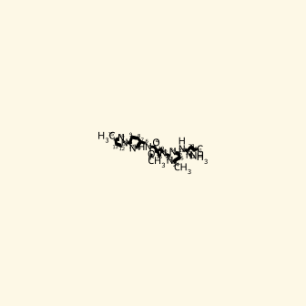 COC1(C(=O)NCc2ccc(-n3ccc(C)n3)nc2)CN(c2nc(C)cc(Nc3cc(C)[nH]n3)n2)C1